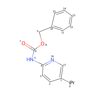 CC(C)c1ccc(NC(=O)OCc2ccccc2)nc1